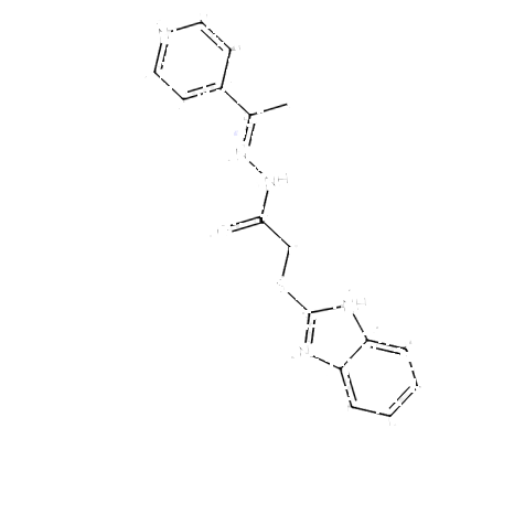 C/C(=N\NC(=O)CSc1nc2ccccc2[nH]1)c1ccncc1